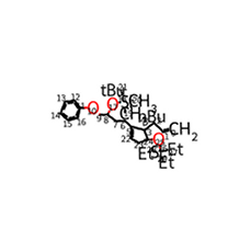 C=CC[C@]1(CCCC)C(CCC(COc2ccccc2)O[Si](C)(C)C(C)(C)C)=CC[C@@H]1O[Si](CC)(CC)CC